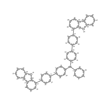 c1ccc(N(c2ccc(-c3ccc(-c4cccc5c4oc4ccccc45)cc3)cc2)c2ccc(-c3ccc(-c4cccc5c4oc4ccccc45)cc3)cc2)cc1